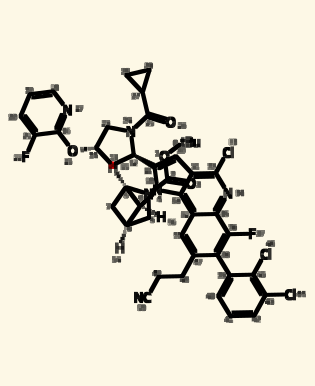 CC(C)(C)OC(=O)N1C[C@H]2C[C@@H]1[C@H]2n1c([C@H]2C[C@H](Oc3ncccc3F)CN2C(=O)C2CC2)cc2c(Cl)nc3c(F)c(-c4cccc(Cl)c4Cl)c(CCC#N)cc3c21